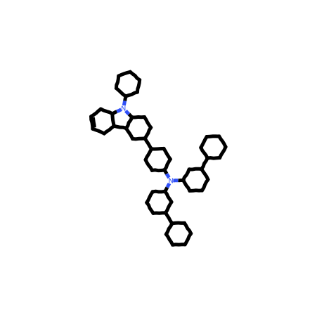 C1=CCC2C(C1)C1CC(C3CCC(N(C4CCCC(C5CCCCC5)C4)C4CCCC(C5CCCCC5)C4)CC3)CCC1N2C1CCCCC1